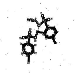 CCCCCCOS(=O)(=O)c1ccc(C)cc1COS(=O)(=O)c1ccc(C)cc1